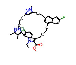 CCn1c(C(=O)OC)c2c3ccc(Cl)c(c31)-c1c(C)c(C)nn1CCCc1cc(n(C)n1)CCc1cc(c3ccc(F)cc3c1)CCCC2